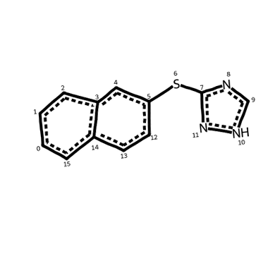 c1ccc2cc(Sc3nc[nH]n3)ccc2c1